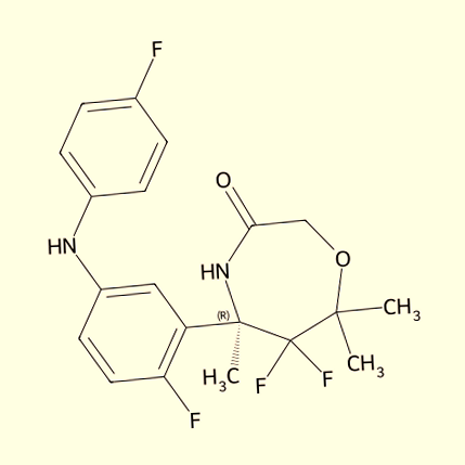 CC1(C)OCC(=O)N[C@](C)(c2cc(Nc3ccc(F)cc3)ccc2F)C1(F)F